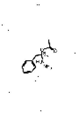 CC(=O)O[C@@](C)(N)Cc1ccccc1.N